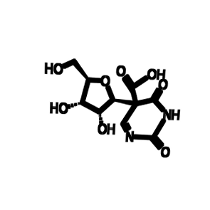 O=C1N=CC(C(=O)O)([C@@H]2O[C@H](CO)[C@@H](O)[C@H]2O)C(=O)N1